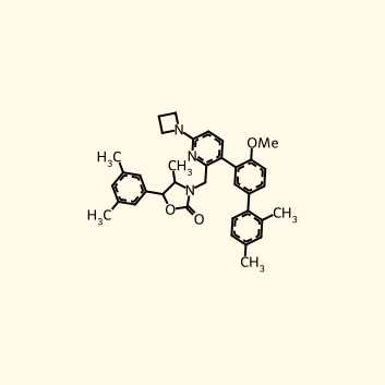 COc1ccc(-c2ccc(C)cc2C)cc1-c1ccc(N2CCC2)nc1CN1C(=O)OC(c2cc(C)cc(C)c2)C1C